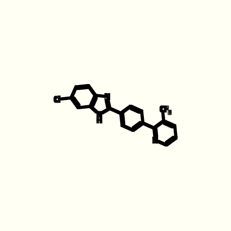 FC(F)(F)c1cccnc1-c1ccc(-c2nc3ccc(Cl)cc3[nH]2)cc1